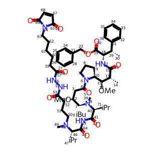 CC[C@H](C)[C@@H]([C@@H](CC(=O)N1CCC[C@H]1[C@H](OC)[C@@H](C)C(=O)N[C@H](C(=O)OCc1ccccc1)[C@@H](C)c1ccccc1)OC)N(C)[C@H](C(=O)NC(=O)[C@H](C(C)C)N(C)CCCC(=O)NNC(=O)CCCCCN1C(=O)C=CC1=O)C(C)C